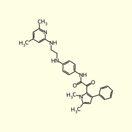 Cc1cc(C)nc(NCCNc2ccc(NC(=O)C(=O)c3c(-c4ccccc4)cc(C)n3C)cc2)c1